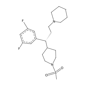 CS(=O)(=O)N1CCC([C@@H](CCN2CC[CH]CC2)c2cc(F)cc(F)c2)CC1